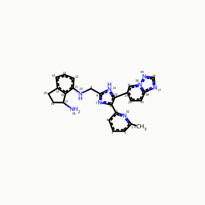 Cc1cccc(-c2nc(CNc3cccc4c3C(N)CC4)[nH]c2-c2ccc3ncnn3c2)n1